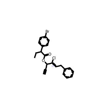 C#CC(OC(=O)C(CC)c1ccc(Br)cc1)/C(Cl)=C/Cc1ccccc1